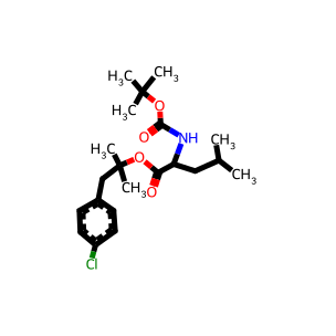 CC(C)CC(NC(=O)OC(C)(C)C)C(=O)OC(C)(C)Cc1ccc(Cl)cc1